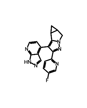 Fc1ccc(-c2nn3c(c2-c2ccnc4[nH]ncc24)C2CC2C3)nc1